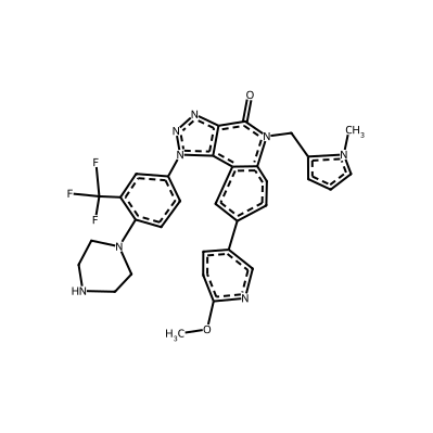 COc1ccc(-c2ccc3c(c2)c2c(nnn2-c2ccc(N4CCNCC4)c(C(F)(F)F)c2)c(=O)n3Cc2cccn2C)cn1